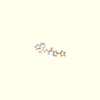 Cn1cnnc1S(=O)(=O)CCNC(=O)c1cc(-c2ccco2)on1